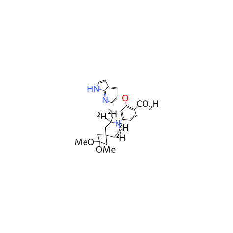 [2H]C1([2H])CC2(CC(OC)(OC)C2)CC([2H])([2H])N1c1ccc(C(=O)O)c(Oc2cnc3[nH]ccc3c2)c1